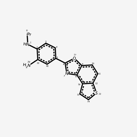 CC(C)Nc1ccc(-c2nc3c(ccc4sccc43)o2)cc1N